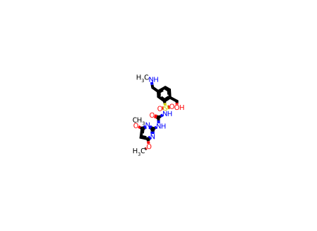 CNCc1ccc(CO)c(S(=O)(=O)NC(=O)Nc2nc(OC)cc(OC)n2)c1